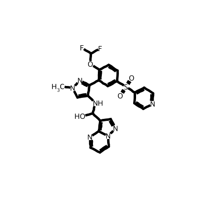 Cn1cc(NC(O)c2cnn3cccnc23)c(-c2cc(S(=O)(=O)c3ccncc3)ccc2OC(F)F)n1